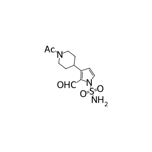 CC(=O)N1CCC(c2ccn(S(N)(=O)=O)c2C=O)CC1